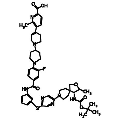 Cc1nc(C(=O)O)ccc1C1=CCN(C2CCN(c3ccc(C(=O)Nc4cccc(Sc5cnc(N6CCC7(CC6)CO[C@@H](C)[C@H]7NC(=O)OC(C)(C)C)cn5)c4)cc3F)CC2)CC1